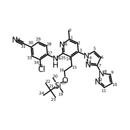 Cc1cc(-n2ccc(-n3cccn3)n2)c(CCO[Si](C)(C)C(C)(C)C)c(Nc2ccc(C#N)cc2Cl)n1